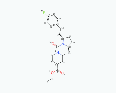 CCOC(=O)C1CCN(C(=O)N2[C@@H](CCc3ccc(F)cc3)CC[C@H]2C)CC1